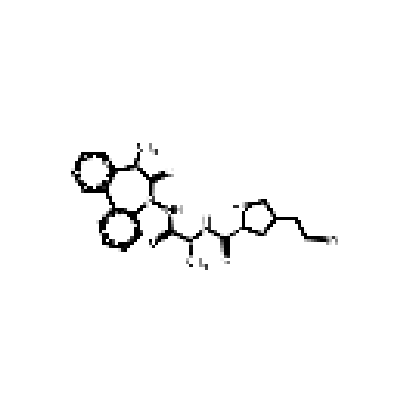 CC(C)CCC1CN[C@H](C(=O)N[C@@H](C)C(=O)NN2C(=O)C(C)c3ccccc3-c3ccccc32)C1